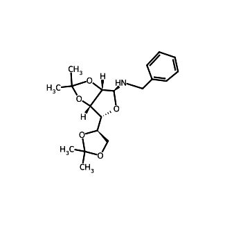 CC1(C)O[C@H]2[C@@H]([C@H]3COC(C)(C)O3)O[C@H](NCc3ccccc3)[C@H]2O1